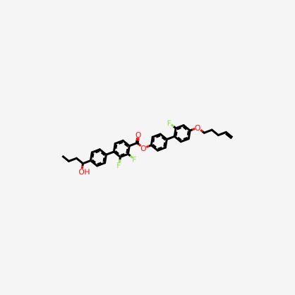 C=CCCCOc1ccc(-c2ccc(OC(=O)c3ccc(-c4ccc(C(O)CCC)cc4)c(F)c3F)cc2)c(F)c1